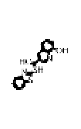 OC(=[SH]c1nc2ccccc2s1)c1cnc2c(O)cccc2c1